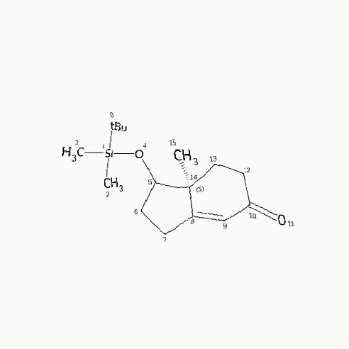 CC(C)(C)[Si](C)(C)OC1CCC2=CC(=O)CC[C@@]21C